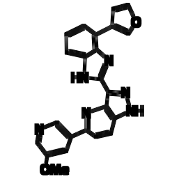 COc1cncc(-c2ccc3[nH]nc(-c4nc5c(-c6ccoc6)cccc5[nH]4)c3n2)c1